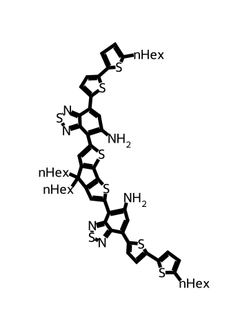 CCCCCCc1ccc(-c2ccc(-c3cc(N)c(-c4cc5c(s4)-c4sc(-c6c(N)cc(-c7ccc(-c8ccc(CCCCCC)s8)s7)c7nsnc67)cc4C5(CCCCCC)CCCCCC)c4nsnc34)s2)s1